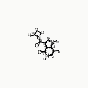 Cc1cn(C)c(=O)c2c(C(=O)N3CCC3C)cn(C)c12